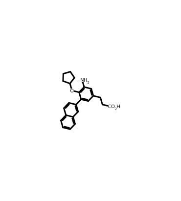 Nc1cc(CCC(=O)O)cc(-c2ccc3ccccc3c2)c1OC1CCCC1